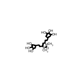 Cn1c(C=Cc2cc(O)c(O)c(O)c2)cc(C=Cc2cc(O)c(O)c(O)c2)[n+](C)c1=O